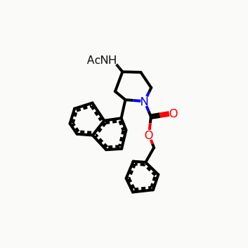 CC(=O)NC1CCN(C(=O)OCc2ccccc2)C(c2cccc3ccccc23)C1